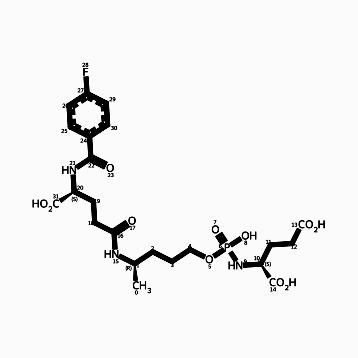 C[C@H](CCCOP(=O)(O)N[C@@H](CCC(=O)O)C(=O)O)NC(=O)CC[C@H](NC(=O)c1ccc(F)cc1)C(=O)O